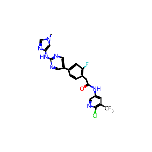 Cn1cnc(Nc2ncc(-c3ccc(CC(=O)Nc4cnc(Cl)c(C(F)(F)F)c4)c(F)c3)cn2)c1